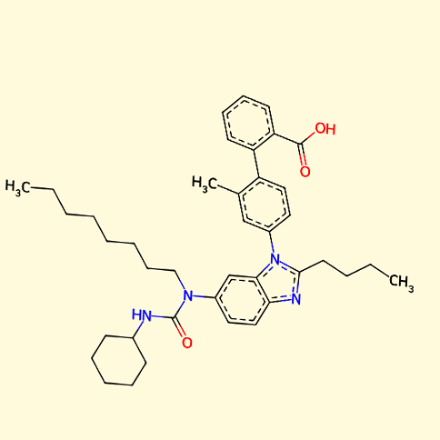 CCCCCCCCN(C(=O)NC1CCCCC1)c1ccc2nc(CCCC)n(-c3ccc(-c4ccccc4C(=O)O)c(C)c3)c2c1